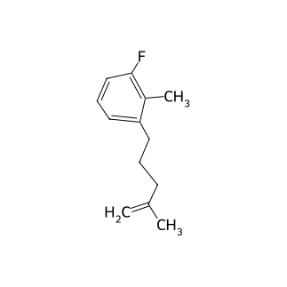 C=C(C)CCCc1cccc(F)c1C